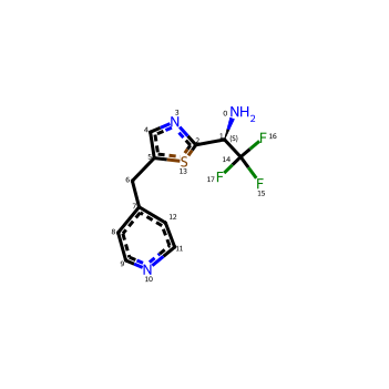 N[C@H](c1ncc(Cc2ccncc2)s1)C(F)(F)F